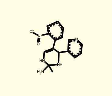 CC1(N)NC=C(c2ccccc2[N+](=O)[O-])C(c2cccnc2)N1